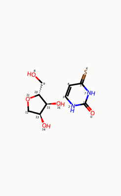 O=c1[nH]ccc(=S)[nH]1.OC[C@H]1OC[C@H](O)[C@@H]1O